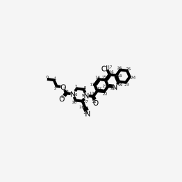 CCCOC(=O)N1CCN(C(=O)c2ccc3c(Cl)c4c(nc3c2)CCCC4)C(C#N)C1